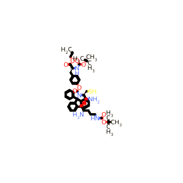 C=CCOC(=O)[C@H](Cc1ccc(OC(=O)N([C@@H](CS)C(N)=O)C(c2ccccc2)(c2ccccc2)c2ccccc2C(=O)[C@@H](N)CCCNC(=O)OC(C)(C)C)cc1)NC(=O)OC(C)(C)C